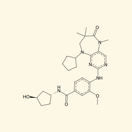 COc1cc(C(=O)N[C@@H]2CC[C@@H](O)C2)ccc1Nc1ncc2c(n1)N(C1CCCC1)CC(C)(C)C(=O)N2C